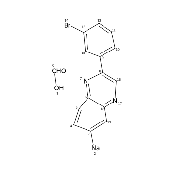 O=CO.[Na][c]1ccc2nc(-c3cccc(Br)c3)cnc2c1